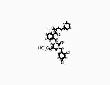 CN(CCc1ccccn1)C(=O)c1ccccc1CN1CC(CC(=O)O)CN(Cc2ccc(Cl)cc2Cl)C1=O